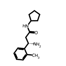 Cc1ccccc1[C@@H](N)CC(=O)NC1CCCC1